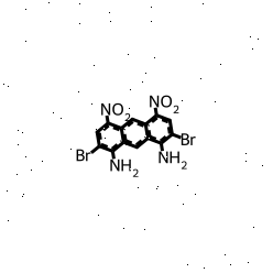 Nc1c(Br)cc([N+](=O)[O-])c2cc3c([N+](=O)[O-])cc(Br)c(N)c3cc12